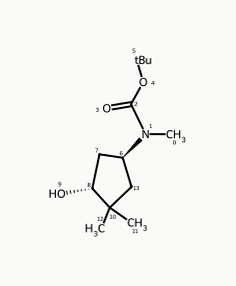 CN(C(=O)OC(C)(C)C)[C@@H]1C[C@@H](O)C(C)(C)C1